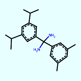 Cc1cc(C)cc(C(N)(N)c2cc(C(C)C)cc(C(C)C)c2)c1